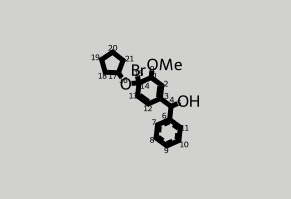 COC1C=C(C(O)c2ccccc2)C=CC1(Br)OC1CCCC1